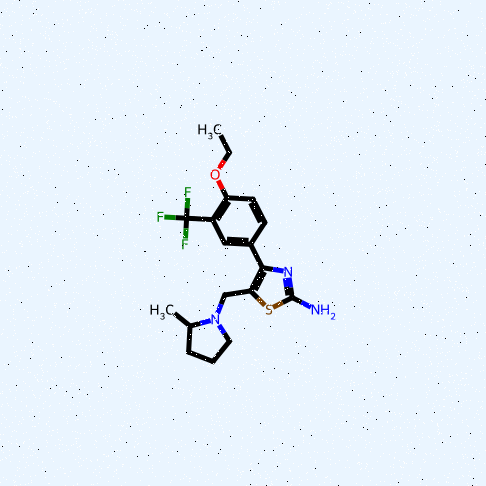 CCOc1ccc(-c2nc(N)sc2CN2CCCC2C)cc1C(F)(F)F